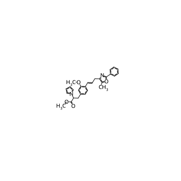 COC(=O)C(Cc1ccc(C=CCc2nc(-c3ccccc3)oc2C)c(OC)c1)n1cccc1